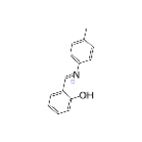 Cc1ccc(/N=C/c2ccccc2O)cc1